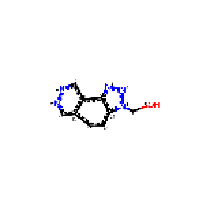 OCn1nnc2c3cnncc3ccc21